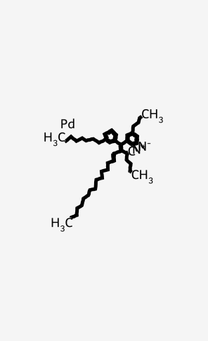 CCCCCCCCCCCCCCC=CC(C(=C=[N+]=[N-])CCCC)=C(c1cccc(CCCC)c1)c1cccc(CCCCCCCC)c1.[Pd]